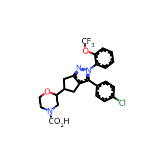 O=C(O)N1CCOC(C2Cc3nn(-c4ccccc4OC(F)(F)F)c(-c4ccc(Cl)cc4)c3C2)C1